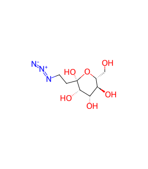 [N-]=[N+]=NCC[C@@]1(O)O[C@H](CO)[C@@H](O)[C@H](O)[C@@H]1O